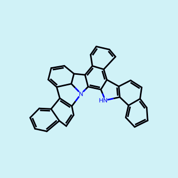 C1=CC2c3c(c4[nH]c5c6ccccc6ccc5c4c4ccccc34)N3c4ccc5ccccc5c4C(=C1)C23